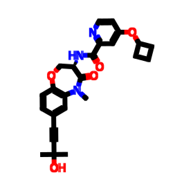 CN1C(=O)[C@@H](NC(=O)c2cc(OC3CCC3)ccn2)COc2ccc(C#CC(C)(C)O)cc21